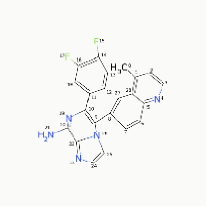 Cc1ccnc2ccc(-c3c(-c4ccc(F)c(F)c4)nc(N)c4nccn34)cc12